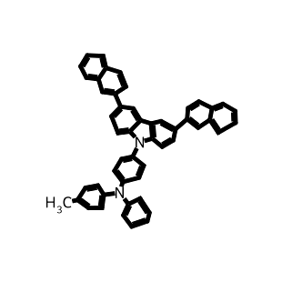 Cc1ccc(N(c2ccccc2)c2ccc(-n3c4ccc(-c5ccc6ccccc6c5)cc4c4cc(-c5ccc6ccccc6c5)ccc43)cc2)cc1